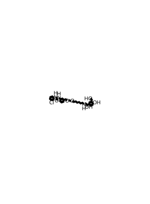 O=C(Nc1cccc(Cl)c1)Nc1cccc(COCCOCCCCCCNC[C@H](O)c2ccc(O)c(CO)c2)c1